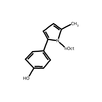 CCCCCCCCn1c(C)ccc1-c1ccc(O)cc1